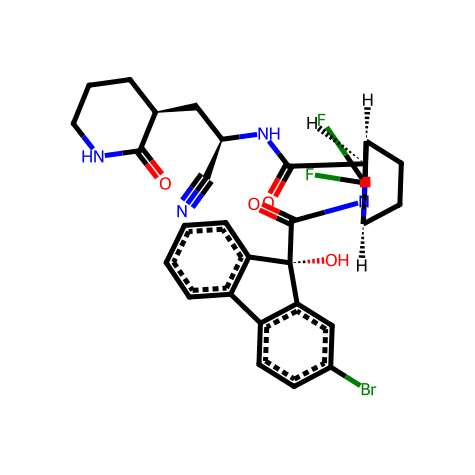 N#C[C@@H](C[C@@H]1CCCNC1=O)NC(=O)[C@H]1[C@H]2CC[C@H](CC2(F)F)N1C(=O)[C@]1(O)c2ccccc2-c2ccc(Br)cc21